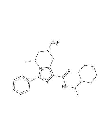 CC(NC(=O)c1nc(-c2ccccc2)n2c1CN(C(=O)O)C[C@H]2C)C1CCCCC1